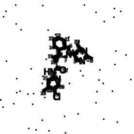 Cc1ncc(N(C)C[C@@]2(C3C=CC=CC3)C[C@H]2C(=O)Nc2cc(C)c(Cl)cn2)c(C)n1